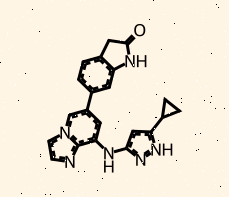 O=C1Cc2ccc(-c3cc(Nc4cc(C5CC5)[nH]n4)c4nccn4c3)cc2N1